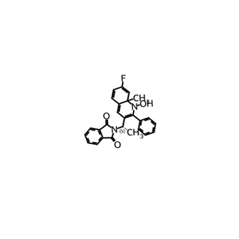 C[C@@H](C1=C(c2ccccc2)N(O)C2(C)C=C(F)C=CC2=C1)N1C(=O)c2ccccc2C1=O